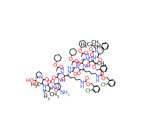 CC(C)[C@H](NC(=O)[C@H](CC(N)=O)NC(=O)[C@H](CC(=O)OC1CCCCC1)NC(=O)[C@H](CCCCNC(=O)OCc1ccccc1Cl)NC(=O)[C@H](CC(=O)OC1CCCCC1)NC(=O)[C@H](CCCCNC(=O)OCc1ccccc1Cl)NC(=O)[C@H](CC(=O)OC1CCCCC1)NC(=O)[C@@H](NC(=O)[C@H](Cc1ccccc1)NC(=O)OC(C)(C)C)[C@@H](C)OCc1ccccc1)C(=O)N[C@@H](C)C(=O)N1CCC[C@H]1C(=O)O